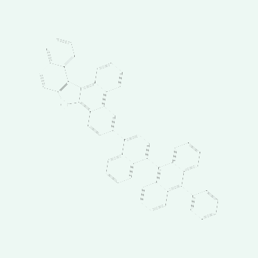 c1ccc(-c2c3ccccc3c(-c3ccc(-c4ccc5c(c4)c4ccccc4c4c5oc5ccc6ccccc6c54)c4ccccc34)c3ccccc23)cc1